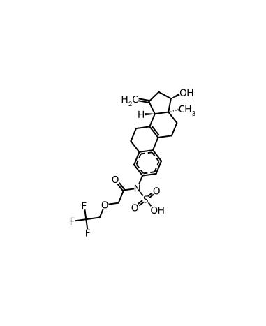 C=C1C[C@@H](O)[C@@]2(C)CCC3=C(CCc4cc(N(C(=O)COCC(F)(F)F)S(=O)(=O)O)ccc43)[C@H]12